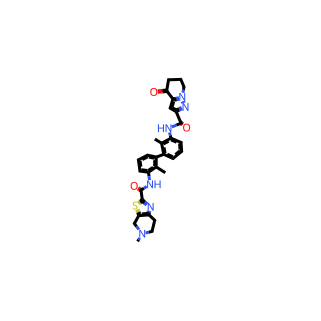 Cc1c(NC(=O)c2cc3n(n2)CCCC3=O)cccc1-c1cccc(NC(=O)c2nc3c(s2)CN(C)CC3)c1C